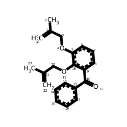 C=C(C)COc1cccc(C(=O)c2ccccc2)c1OCC(=C)C